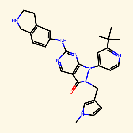 Cn1ccc(Cn2c(=O)c3cnc(Nc4ccc5c(c4)CCNC5)nc3n2-c2ccnc(C(C)(C)C)c2)c1